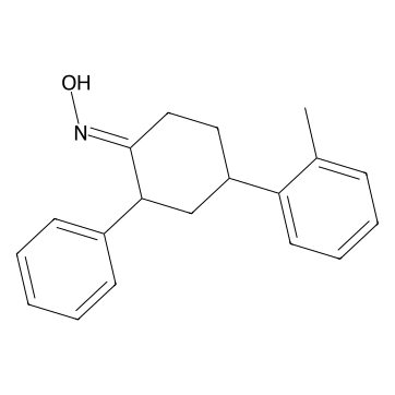 Cc1ccccc1C1CCC(=NO)C(c2ccccc2)C1